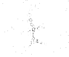 C=C(C)C(=O)Oc1cc(-c2ccc(-c3ccc(C4CCC(CCCCC)CC4)cc3F)cc2)c(OC(=O)C(=C)C)cc1OCC(COC(=O)C(=O)OCC)COC(=O)C(=O)OCC